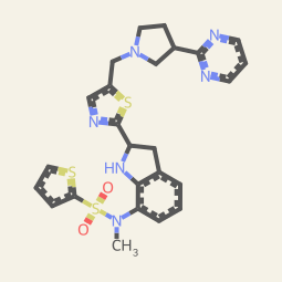 CN(c1cccc2c1NC(c1ncc(CN3CCC(c4ncccn4)C3)s1)C2)S(=O)(=O)c1cccs1